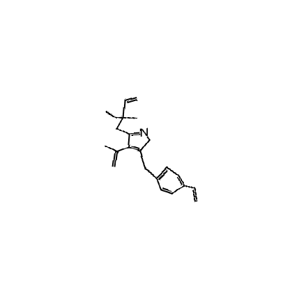 C=Cc1ccc(CC2=C(C(=C)C)C(CC(C)(C)C=C)=NC2)cc1